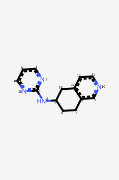 c1cnc(NC2CCc3cnccc3C2)nc1